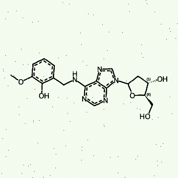 COc1cccc(CNc2ncnc3c2ncn3C2C[C@H](O)[C@@H](CO)O2)c1O